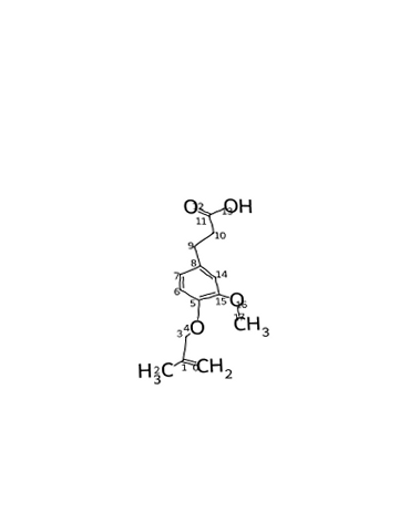 C=C(C)COc1ccc(CCC(=O)O)cc1OC